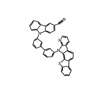 N#Cc1ccc2c(c1)c1ccccc1n2-c1cccc(-c2cccc(-n3c4ncccc4c4ccc5c6ccccc6sc5c43)c2)c1